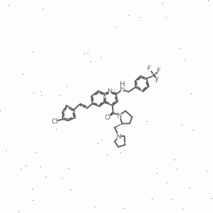 O=C(c1cc(NCc2ccc(C(F)(F)F)cc2)nc2ccc(/C=C/c3ccc(Cl)cc3)cc12)N1CCC[C@H]1CN1CCCC1